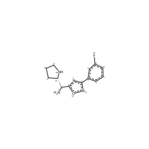 NC(c1nc(-c2cccc(F)c2)no1)[C@@H]1CCCN1